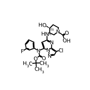 CC(C)(C)OC(=O)N(c1cccc(F)c1)c1cc(N[C@H]2CN(C(=O)O)CC[C@@H]2O)nc2c(Cl)cnn12